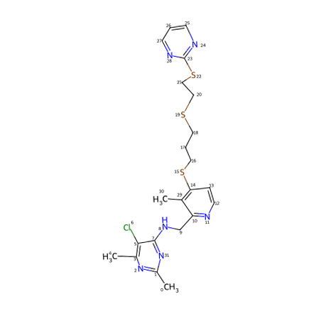 Cc1nc(C)c(Cl)c(NCc2nccc(SCCCSCCSc3ncccn3)c2C)n1